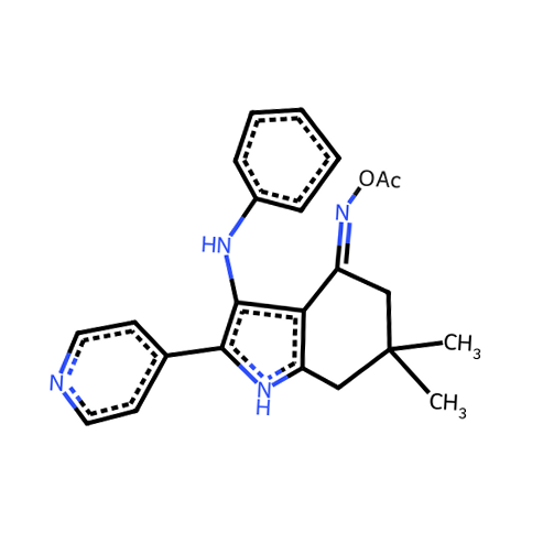 CC(=O)ON=C1CC(C)(C)Cc2[nH]c(-c3ccncc3)c(Nc3ccccc3)c21